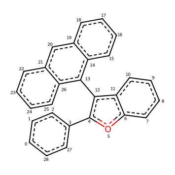 c1ccc(-c2oc3ccccc3c2-c2c3ccccc3cc3ccccc23)cc1